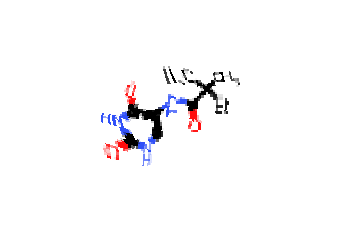 CCC(C)(C)C(=O)Nc1c[nH]c(=O)[nH]c1=O